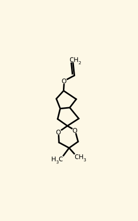 C=COC1CC2CC3(CC2C1)OCC(C)(C)CO3